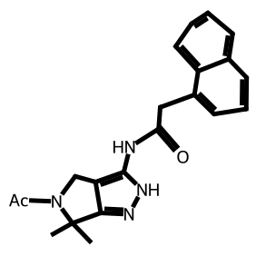 CC(=O)N1Cc2c(n[nH]c2NC(=O)Cc2cccc3ccccc23)C1(C)C